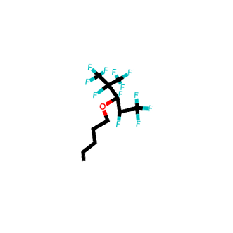 CCCCCOC(F)(C(F)C(F)(F)F)C(F)(C(F)(F)F)C(F)(F)F